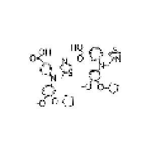 COc1ccc(N(Cc2cncs2)c2ccc(C(=O)O)cc2)cc1OC1CCCC1.COc1ccc(N(Cc2cscn2)c2cccc(C(=O)O)c2)cc1OC1CCCC1